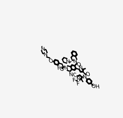 Cc1c(C(=O)N(c2ccc(O)cc2)c2cc(C#N)n(C(F)F)c2C)cc(-c2cc3c(cc2C(=O)N2Cc4ccccc4C[C@H]2CN2CCCCC2)CN(C(=O)Cc2ccc(OCCN4CCN(C)CC4)cc2F)CC3)n1C